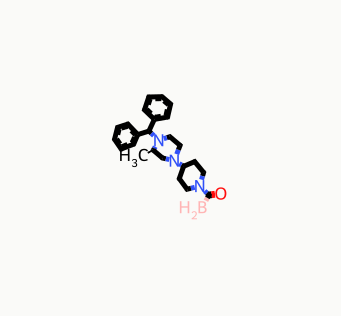 BC(=O)N1CCC(N2CCN(C(c3ccccc3)c3ccccc3)[C@@H](C)C2)CC1